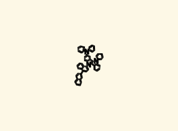 c1ccc(N(c2ccccc2)c2ccc3c(c2)c2c(c4ccccc4n2-c2ccccc2)n3-c2ccc(-c3ccc4ccccc4c3)c3ccccc23)cc1